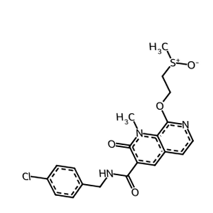 Cn1c(=O)c(C(=O)NCc2ccc(Cl)cc2)cc2ccnc(OCC[S+](C)[O-])c21